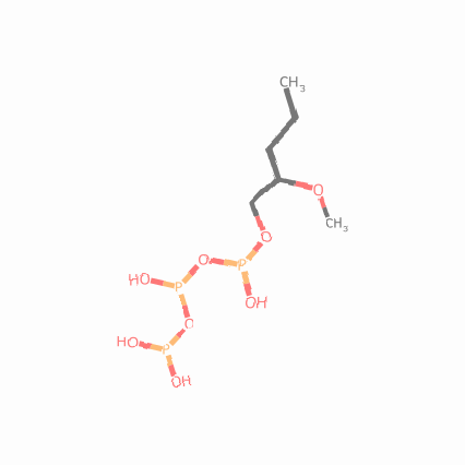 CCCC(COP(O)OP(O)OP(O)O)OC